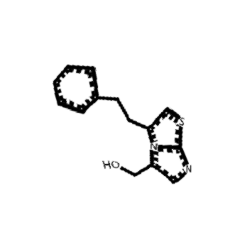 OCc1cnc2scc(CCc3ccccc3)n12